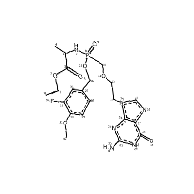 CCOC(=O)C(C)NP(=O)(COCCn1cnc2c(=O)[nH]c(N)nc21)OCc1ccc(OC)c(F)c1